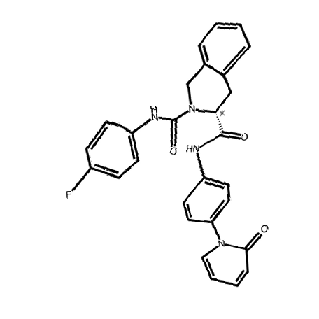 O=C(Nc1ccc(-n2ccccc2=O)cc1)[C@H]1Cc2ccccc2CN1C(=O)Nc1ccc(F)cc1